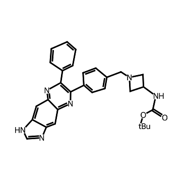 CC(C)(C)OC(=O)NC1CN(Cc2ccc(-c3nc4cc5nc[nH]c5cc4nc3-c3ccccc3)cc2)C1